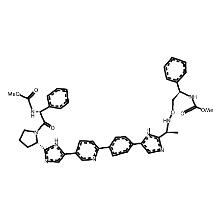 COC(=O)N[C@@H](CON[C@@H](C)c1ncc(-c2ccc(-c3ccc(-c4cnc([C@@H]5CCCN5C(=O)[C@H](NC(=O)OC)c5ccccc5)[nH]4)cn3)cc2)[nH]1)c1ccccc1